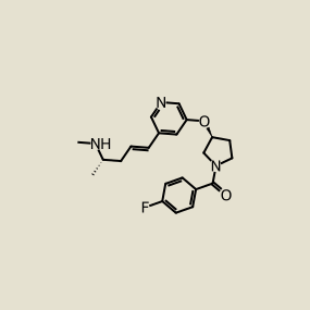 CN[C@@H](C)CC=Cc1cncc(O[C@H]2CCN(C(=O)c3ccc(F)cc3)C2)c1